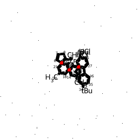 Cl.Cl.[CH2]=[Zr]([C]1=CC=CC1)([c]1ccc(C)cc1)([c]1ccc(C)cc1)[c]1c(C(C)(C)C)ccc2c1Cc1cc(C(C)(C)C)ccc1-2